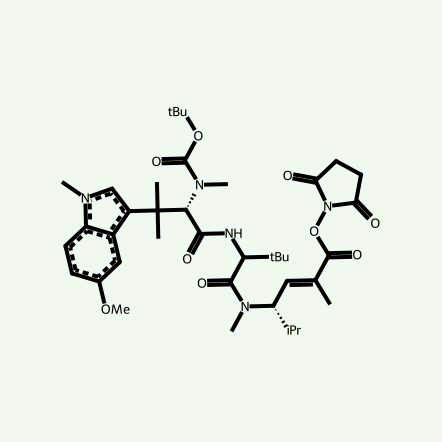 COc1ccc2c(c1)c(C(C)(C)[C@@H](C(=O)NC(C(=O)N(C)[C@H](/C=C(\C)C(=O)ON1C(=O)CCC1=O)C(C)C)C(C)(C)C)N(C)C(=O)OC(C)(C)C)cn2C